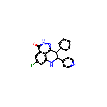 O=c1[nH]nc2c3c(cc(F)cc13)NC(c1ccncc1)C2c1ccccc1